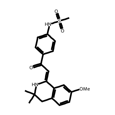 COc1ccc2c(c1)C(=CC(=O)c1ccc(NS(C)(=O)=O)cc1)NC(C)(C)C2